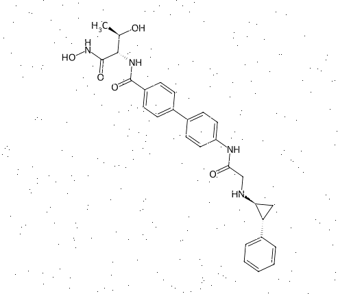 C[C@@H](O)[C@H](NC(=O)c1ccc(-c2ccc(NC(=O)CN[C@H]3C[C@@H]3c3ccccc3)cc2)cc1)C(=O)NO